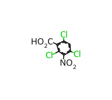 O=C(O)c1c(Cl)cc(Cl)c([N+](=O)[O-])c1Cl